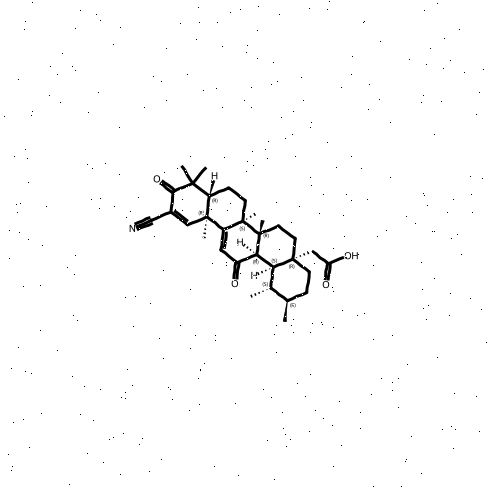 C[C@@H]1[C@H]2[C@H]3C(=O)C=C4[C@@]5(C)C=C(C#N)C(=O)C(C)(C)[C@@H]5CC[C@@]4(C)[C@]3(C)CC[C@@]2(CC(=O)O)CC[C@H]1C